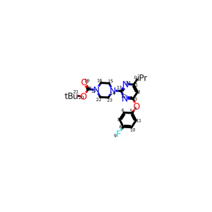 CC(C)c1cc(Oc2ccc(F)cc2)nc(N2CCN(C(=O)OC(C)(C)C)CC2)n1